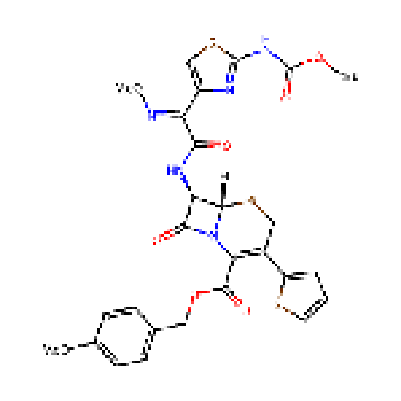 CON=C(C(=O)N[C@@H]1C(=O)N2C(C(=O)OCc3ccc(OC)cc3)=C(c3cccs3)CS[C@@H]12)c1csc(NC(=O)OC(C)(C)C)n1